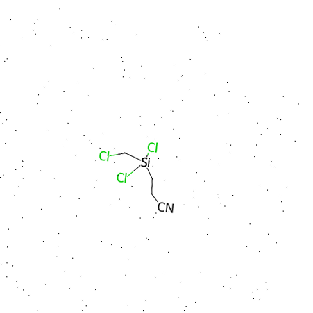 N#CCC[Si](Cl)(Cl)CCl